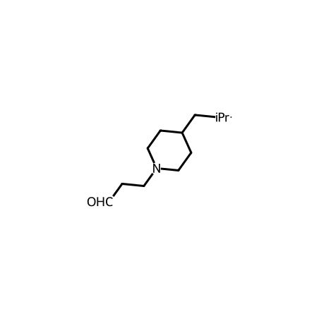 C[C](C)CC1CCN(CCC=O)CC1